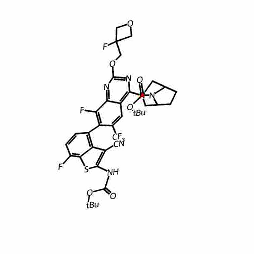 CC(C)(C)OC(=O)Nc1sc2c(F)ccc(-c3c(C(F)(F)F)cc4c(N5CC6CCC(C5)N6C(=O)OC(C)(C)C)nc(OCC5(F)COC5)nc4c3F)c2c1C#N